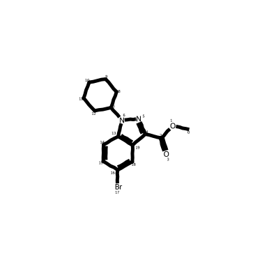 COC(=O)c1nn(C2CCCCC2)c2ccc(Br)cc12